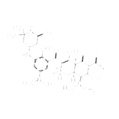 C=C1CC(Nc2cc(N(C)C)c3c(c2O)C(=O)C2=C(O)[C@]4(O)C(=O)C(C(N)=O)C(O)[C@@H](N(C)C)[C@@H]4C[C@@H]2C3)CC(C)(C)N1